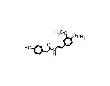 COc1ccc(C=CNC(=O)Cc2ccc(O)cc2)cc1OC